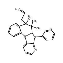 C=CCC1(C)c2ccccc2N2c3cncnc3N(c3cccnc3)C2C1(C)C